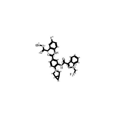 CC(C)(C)OC(=O)Cc1cc(F)ccc1NC(=O)c1ccc(N2CC3CC3C2)c(NC(=O)c2nn(CC(F)(F)F)c3ccccc23)c1